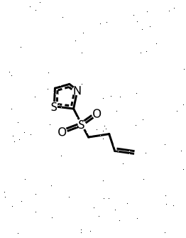 C=CCCS(=O)(=O)c1nccs1